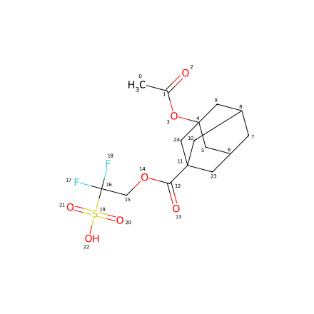 CC(=O)OC12CC3CC(C1)CC(C(=O)OCC(F)(F)S(=O)(=O)O)(C3)C2